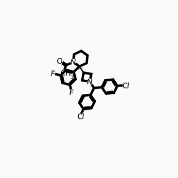 CC(=O)N1CCCC[C@@]1(c1cc(F)cc(F)c1)C1CN(C(c2ccc(Cl)cc2)c2ccc(Cl)cc2)C1